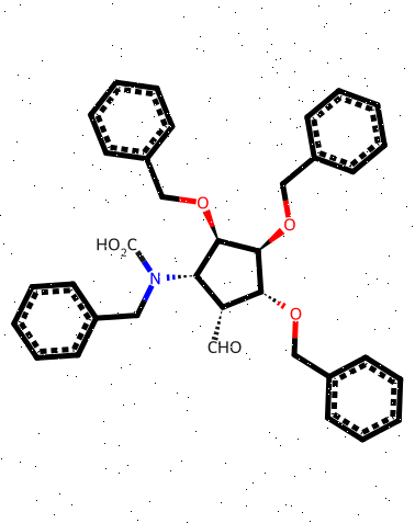 O=C[C@H]1[C@@H](OCc2ccccc2)[C@H](OCc2ccccc2)[C@H](OCc2ccccc2)[C@H]1N(Cc1ccccc1)C(=O)O